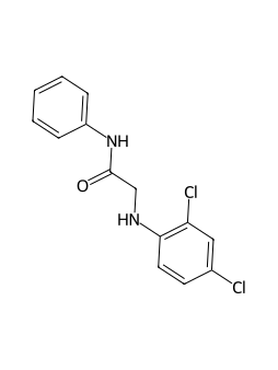 O=C(CNc1ccc(Cl)cc1Cl)Nc1ccccc1